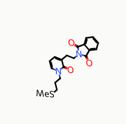 CSCCCn1cccc(CCN2C(=O)c3ccccc3C2=O)c1=O